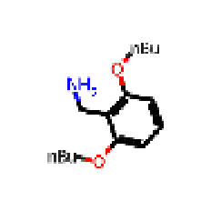 CCCCOc1cccc(OCCCC)c1CN